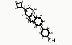 Cc1ccc(-c2ccc3c(c2)nc2n3CCN(C3CCC3)C2)cc1